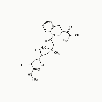 CCCCNC(=O)[C@H](C)C[C@H](O)[C@@H](N)CC(C)(C)CC(=O)N1C[C@H](C(=O)N(C)C)Cc2ccccc21